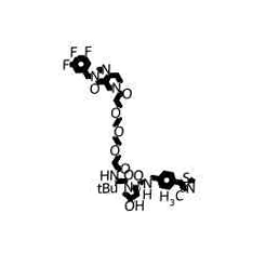 Cc1ncsc1-c1ccc(CNC(=O)[C@@H]2C[C@@H](O)CN2C(=O)[C@@H](NC(=O)CCOCCOCCOCCC(=O)N2CCc3ncn(Cc4cc(F)c(F)c(F)c4)c(=O)c3C2)C(C)(C)C)cc1